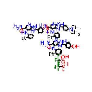 CCc1ccccc1Nc1c(C(N)=O)cnc2[nH]c(-c3ccc(N(C)C)cc3)nc12.CCc1ccccc1Nc1c(C(N)=O)cnc2[nH]c(-c3ccc(O)cc3)nc12.CCc1ccccc1Nc1c(C(N)=O)cnc2[nH]c(-c3cccc(O)c3)nc12.O=C(O)C(F)(F)F.O=C(O)C(F)(F)F